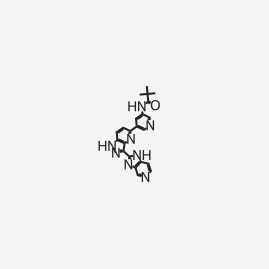 CC(C)(C)C(=O)Nc1cncc(-c2ccc3[nH]nc(-c4nc5cnccc5[nH]4)c3n2)c1